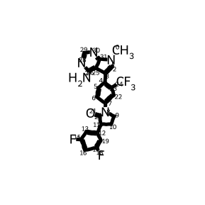 Cn1cc(-c2ccc(N3CCC(c4cc(F)cc(F)c4)C3=O)cc2C(F)(F)F)c2c(N)ncnc21